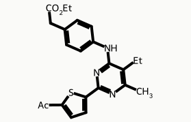 CCOC(=O)Cc1ccc(Nc2nc(-c3ccc(C(C)=O)s3)nc(C)c2CC)cc1